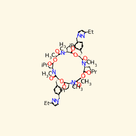 CCc1ccn(Cc2ccc(C[C@H]3OC(=O)[C@H](CC(C)C)N(C)C(=O)[C@@H](C)OC(=O)[C@H](CC(C)C)N(C)C(=O)[C@@H](Cc4ccc(Cn5ccc(CC)n5)cc4)OC(=O)[C@H](CC(C)C)N(C)C(=O)[C@@H](C)OC(=O)[C@H](CC(C)C)N(C)C3=O)cc2)n1